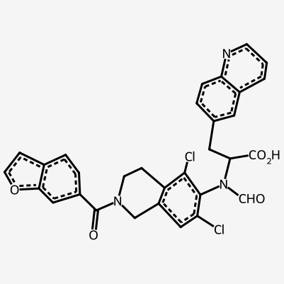 O=CN(c1c(Cl)cc2c(c1Cl)CCN(C(=O)c1ccc3ccoc3c1)C2)C(Cc1ccc2ncccc2c1)C(=O)O